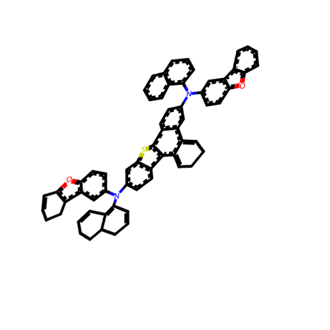 C1=Cc2oc3ccc(N(C4=C5C=CCCC5CC=C4)c4ccc5c(c4)sc4c6ccc(N(c7ccc8oc9ccccc9c8c7)c7cccc8ccccc78)cc6c6c(c54)=CCCC=6)cc3c2CC1